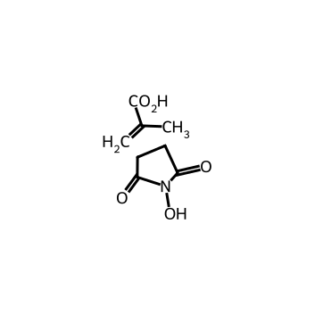 C=C(C)C(=O)O.O=C1CCC(=O)N1O